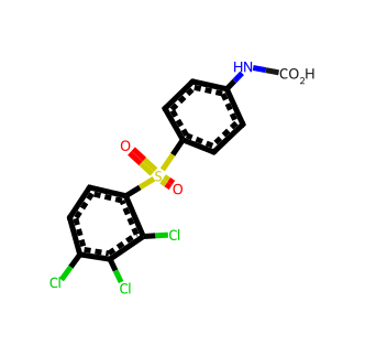 O=C(O)Nc1ccc(S(=O)(=O)c2ccc(Cl)c(Cl)c2Cl)cc1